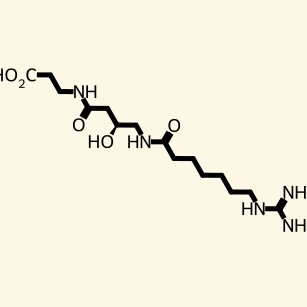 N=C(N)NCCCCCCC(=O)NC[C@@H](O)CC(=O)NCCC(=O)O